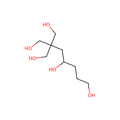 OCCCC(O)CC(CO)(CO)CO